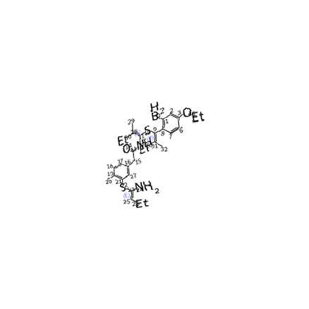 Bc1cc(OCC)ccc1/C(S/C(NC(=O)Cc1ccc(C)c(S/C(N)=C/CC)c1)=C(\C)CC)=C(\C)CC